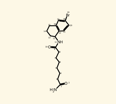 NC(=O)CCCCCCC(=O)NC1CCCc2cc(Br)ccc21